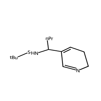 CCCC(NSC(C)(C)C)C1=CCCN=C1